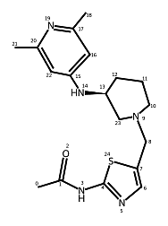 CC(=O)Nc1ncc(CN2CCC[C@H](Nc3cc(C)nc(C)c3)C2)s1